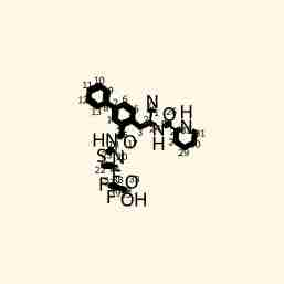 N#C[C@H](Cc1ccc(-c2ccccc2)cc1C(=O)Nc1nccs1)NC(=O)[C@@H]1CCCCN1.O=C(O)C(F)(F)F